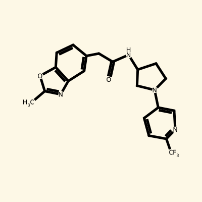 Cc1nc2cc(CC(=O)NC3CCN(c4ccc(C(F)(F)F)nc4)C3)ccc2o1